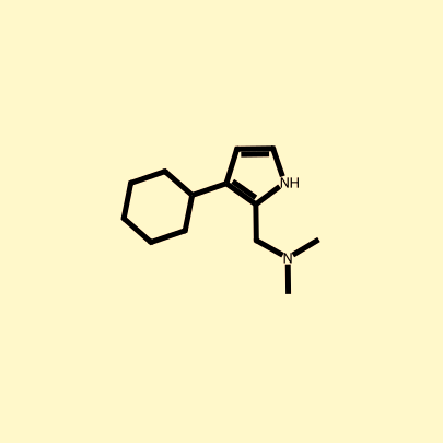 CN(C)Cc1[nH]ccc1C1CCCCC1